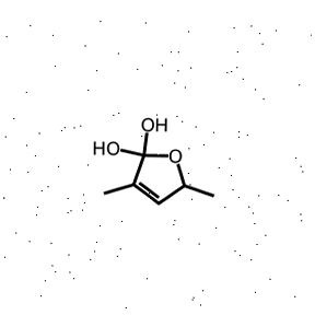 CC1=CC(C)OC1(O)O